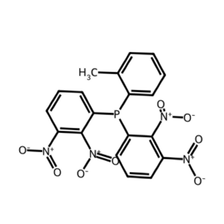 Cc1ccccc1P(c1cccc([N+](=O)[O-])c1[N+](=O)[O-])c1cccc([N+](=O)[O-])c1[N+](=O)[O-]